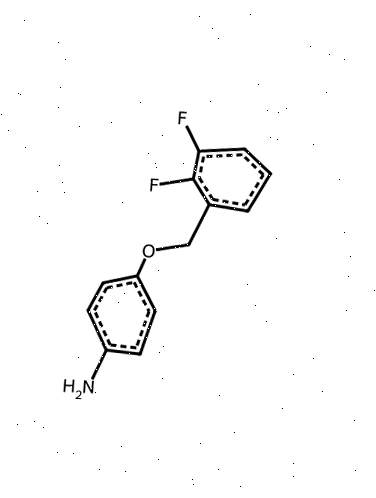 Nc1ccc(OCc2cccc(F)c2F)cc1